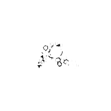 C=C[C@@H]1C[C@]1(NC(=O)[C@@H]1C[C@@H]2CN1C(=O)[C@H](C1CCCCC1)NC(=O)O[C@@H]1C[C@H]1CCCCCc1c(nc3ccccc3c1O[C@@H]1CCN(C(=O)O)C(C(C)(C)C)[C@@H]1F)O2)C(=O)NS(=O)(=O)C1(C)CC1